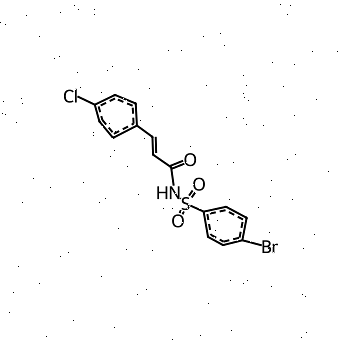 O=C(C=Cc1ccc(Cl)cc1)NS(=O)(=O)c1ccc(Br)cc1